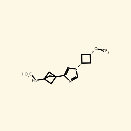 O=C(O)NC12CC(c3cn([C@H]4C[C@@H](OC(F)(F)F)C4)cn3)(C1)C2